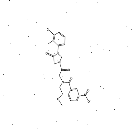 COCCN(CC(=O)N1CC(=O)N(c2cccc(Cl)c2C)C1)C(=O)c1cccc([N+](=O)[O-])c1